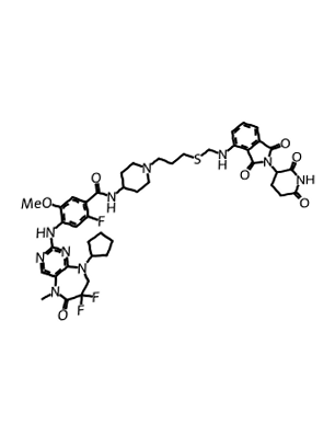 COc1cc(C(=O)NC2CCN(CCCSCNc3cccc4c3C(=O)N(C3CCC(=O)NC3=O)C4=O)CC2)c(F)cc1Nc1ncc2c(n1)N(C1CCCC1)CC(F)(F)C(=O)N2C